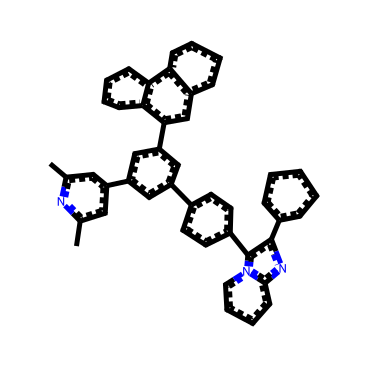 Cc1cc(-c2cc(-c3ccc(-c4c(-c5ccccc5)nc5ccccn45)cc3)cc(-c3cc4ccccc4c4ccccc34)c2)cc(C)n1